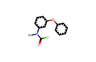 CC(C)N(C(=O)Cl)c1cccc(Oc2ccccc2)c1